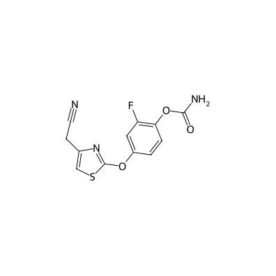 N#CCc1csc(Oc2ccc(OC(N)=O)c(F)c2)n1